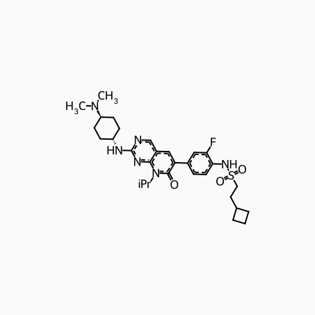 CC(C)n1c(=O)c(-c2ccc(NS(=O)(=O)CCC3CCC3)c(F)c2)cc2cnc(N[C@H]3CC[C@H](N(C)C)CC3)nc21